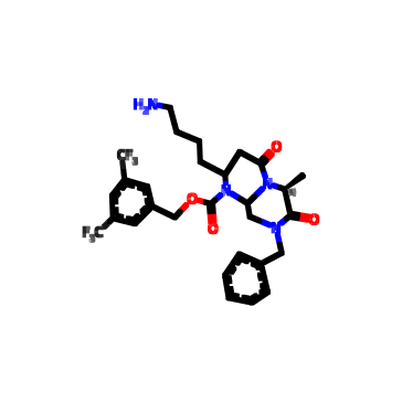 C[C@H]1C(=O)N(Cc2ccccc2)CC2N(C(=O)OCc3cc(C(F)(F)F)cc(C(F)(F)F)c3)C(CCCCN)CC(=O)N21